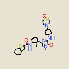 Cc1c(NC(=O)c2cc3c(s2)CCCC3)cccc1-c1cn(C)c(=O)c(Nc2ccc(N3CC[S+]([O-])CC3)cc2)n1